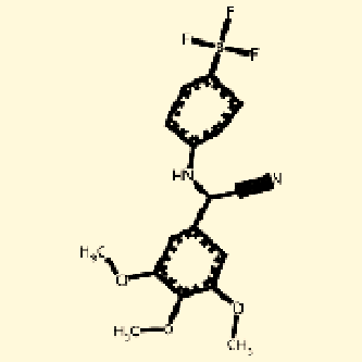 COc1cc(C(C#N)Nc2ccc([B-](F)(F)F)cc2)cc(OC)c1OC